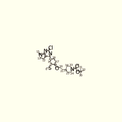 CSc1cc(-c2nc(Cl)nc3c2ccn3C)ccc1OCCC1CCN(C(=O)OC(C)(C)C)CC1